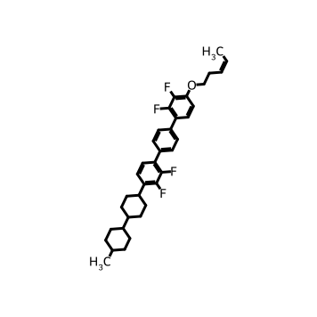 C/C=C\CCOc1ccc(-c2ccc(-c3ccc(C4CCC(C5CCC(C)CC5)CC4)c(F)c3F)cc2)c(F)c1F